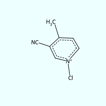 Cc1cc[n+](Cl)cc1C#N